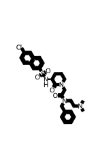 CN(C)CCN(Cc1ccccc1)C(=O)CN1CCC[C@H](NS(=O)(=O)c2ccc3cc(Cl)ccc3c2)C1=O